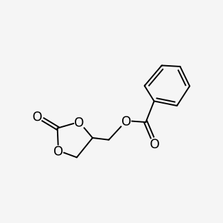 O=C1OCC(COC(=O)c2ccccc2)O1